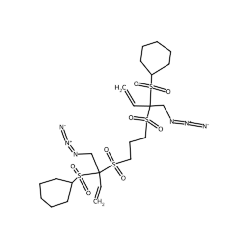 C=CC(CN=[N+]=[N-])(S(=O)(=O)CCCS(=O)(=O)C(C=C)(CN=[N+]=[N-])S(=O)(=O)C1CCCCC1)S(=O)(=O)C1CCCCC1